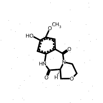 COc1cc2c(cc1O)NC(=O)[C@@H]1COCCN1C2=O